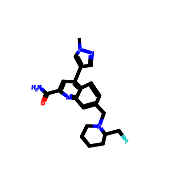 Cn1cc(-c2cc(C(N)=O)nc3cc(CN4CCCCC4CF)ccc23)cn1